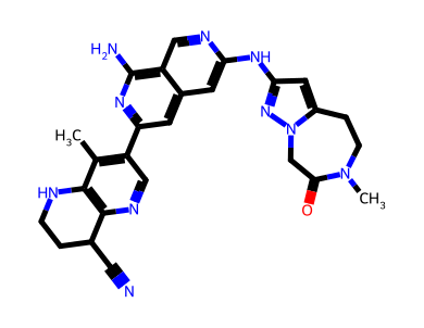 Cc1c(-c2cc3cc(Nc4cc5n(n4)CC(=O)N(C)CC5)ncc3c(N)n2)cnc2c1NCCC2C#N